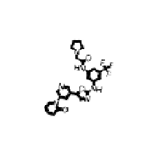 O=C(CN1CCCC1)Nc1cc(Nc2ncc(-c3cncc(-n4ccccc4=O)c3)o2)cc(C(F)(F)F)c1